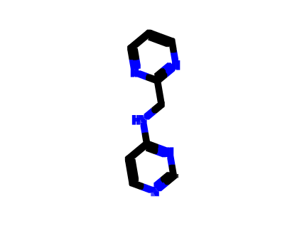 [c]1nccc(NCc2ncccn2)n1